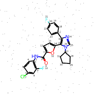 O=C(Nc1ccc(Cl)cc1F)c1ccc(-c2c(-c3ccc(F)cc3)ncn2C2CCCC2)o1